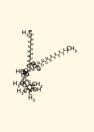 CCCCCCCCCCCCCCCC(=O)OC[C@H](COP(=O)(O)OCCC1(C)CCc2c(C)c(O)c(C)c(C)c2O1)OC(=O)CCCCCCCCCCCCC